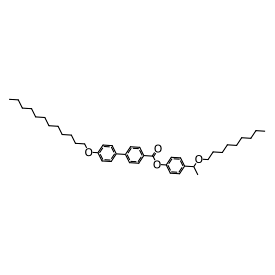 CCCCCCCCCCCCOc1ccc(-c2ccc(C(=O)Oc3ccc(C(C)OCCCCCCCCC)cc3)cc2)cc1